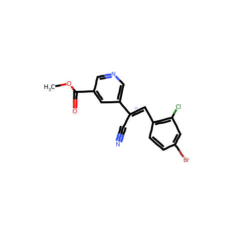 COC(=O)c1cncc(/C(C#N)=C/c2ccc(Br)cc2Cl)c1